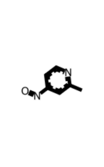 Cc1cc(N=O)ccn1